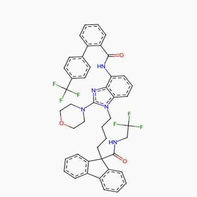 O=C(Nc1cccc2c1nc(N1CCOCC1)n2CCCCC1(C(=O)NCC(F)(F)F)c2ccccc2-c2ccccc21)c1ccccc1-c1ccc(C(F)(F)F)cc1